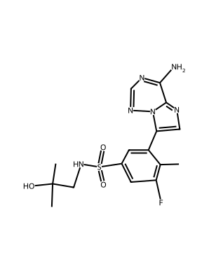 Cc1c(F)cc(S(=O)(=O)NCC(C)(C)O)cc1-c1cnc2c(N)ncnn12